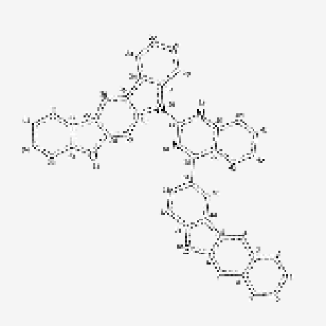 c1ccc2cc3c(cc2c1)sc1ccc(-c2nc(-n4c5ccccc5c5cc6c(cc54)oc4ccccc46)nc4ccccc24)cc13